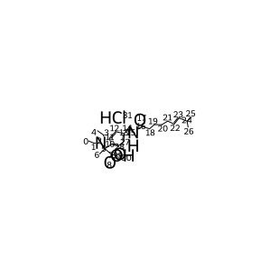 CCN(CC)C(C)(C(=O)O)c1ccc(CNC(=O)CCCC/C=C/C(C)C)cc1OC.Cl